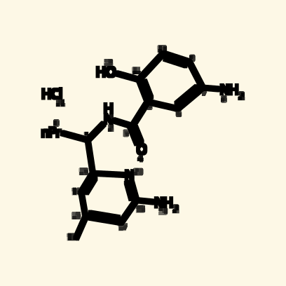 CCCC(NC(=O)c1cc(N)ccc1O)c1cc(C)cc(N)n1.Cl